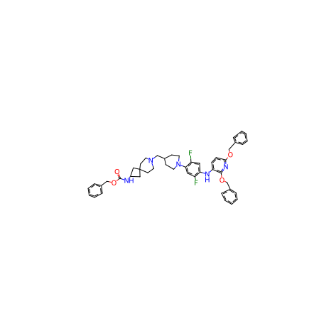 O=C(NC1CC2(CCN(CC3CCN(c4cc(F)c(Nc5ccc(OCc6ccccc6)nc5OCc5ccccc5)cc4F)CC3)CC2)C1)OCc1ccccc1